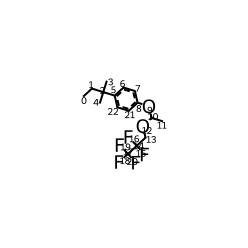 CCC(C)(C)c1ccc(OC(C)OCC(F)(F)C(F)(F)F)cc1